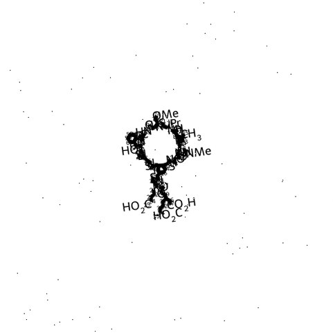 CNC(=O)C[C@@H]1NC(=O)c2csc(n2)-c2ccc(-c3nc(N(CCCCC(=O)O)C(=O)OCC(CCCCC(=O)O)CC(=O)O)cs3)nc2-c2csc(n2)-c2csc(n2)[C@H]([C@@H](O)c2ccccc2)NC(=O)CNC(=O)c2nc(sc2COC)[C@H](C(C)C)NC(=O)c2nc1sc2C